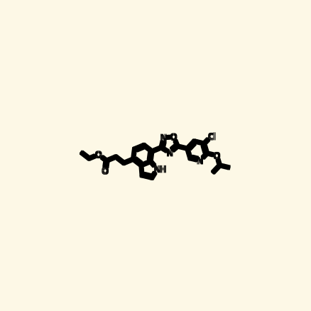 CCOC(=O)CCc1ccc(-c2noc(-c3cnc(OC(C)C)c(Cl)c3)n2)c2[nH]ccc12